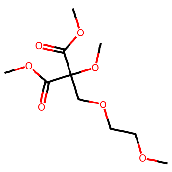 COCCOCC(OC)(C(=O)OC)C(=O)OC